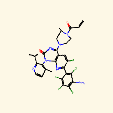 C=CC(=O)N1CCN(c2nc(=O)n(-c3c(C)ccnc3C(C)C)c3nc(-c4c(F)c(F)c(F)c(N)c4Cl)c(F)cc23)CC1C